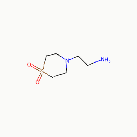 NCCN1CCS(=O)(=O)CC1